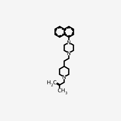 C=C(C)CN1CCC(CCN2CCN(c3cccc4ccccc34)CC2)CC1